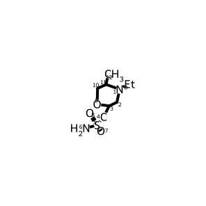 CCN1CC(CS(N)(=O)=O)OCC1C